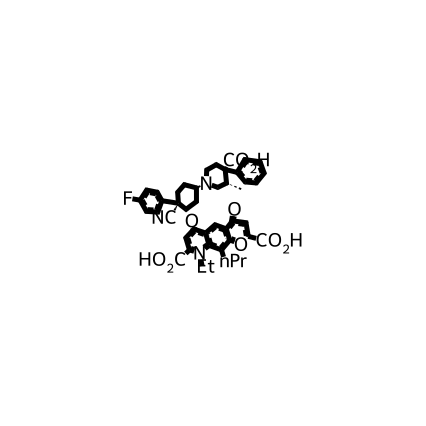 CCCc1c2oc(C(=O)O)cc(=O)c2cc2c(=O)cc(C(=O)O)n(CC)c12.C[C@@H]1CN([C@H]2CC[C@](C#N)(c3ccc(F)cc3)CC2)CC[C@]1(C(=O)O)c1ccccc1